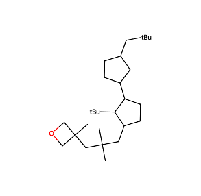 CC(C)(C)CC1CCC(C2CCC(CC(C)(C)CC3(C)COC3)C2C(C)(C)C)C1